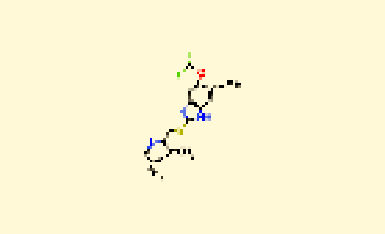 COc1cc2[nH]c(SCc3ncc(C)cc3C)nc2cc1OC(F)F